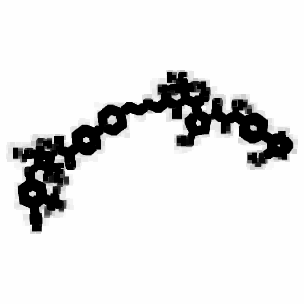 Cc1ncsc1-c1ccc([C@H](C)NC(=O)[C@@H]2C[C@@H](O)CN2C(=O)[C@@H](NC(=O)COCCN2CCN(c3ccc(C(=O)N[C@H]4C(C)(C)[C@H](Oc5ccc(C#N)c(C(F)(F)F)c5)C4(C)C)cn3)CC2)C(C)(C)C)cc1